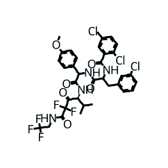 COc1ccc(C(NC(=O)C(Cc2cccc(Cl)c2)NC(=O)c2cc(Cl)ccc2Cl)C(=O)N[C@H](C(=O)C(F)(F)C(=O)NCC(F)(F)F)C(C)C)cc1